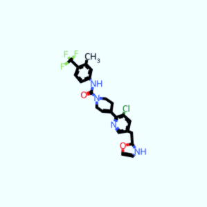 Cc1cc(NC(=O)N2CC=C(c3ncc(CC4NC=CO4)cc3Cl)CC2)ccc1C(F)(F)F